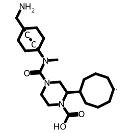 CN(C(=O)N1CCN(C(=O)O)C(C2CCC[CH]CCC2)C1)C12CCC(CN)(CC1)CC2